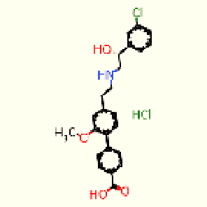 COc1cc(CCNC[C@H](O)c2cccc(Cl)c2)ccc1-c1ccc(C(=O)O)cc1.Cl